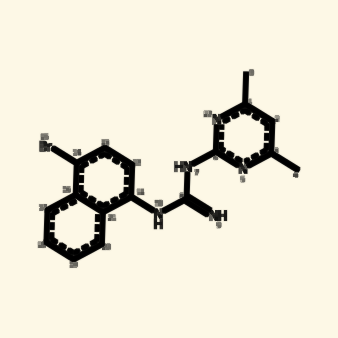 Cc1cc(C)nc(NC(=N)Nc2ccc(Br)c3ccccc23)n1